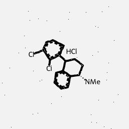 CN[C@H]1CCC(c2cccc(Cl)c2Cl)c2ccccc21.Cl